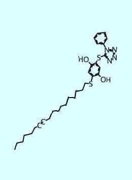 CCCCCCCCCCCCCCCCCCSc1cc(O)c(Sc2nnnn2-c2ccccc2)cc1O